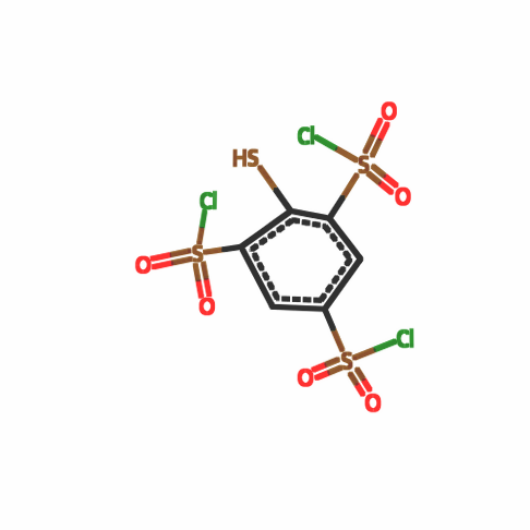 O=S(=O)(Cl)c1cc(S(=O)(=O)Cl)c(S)c(S(=O)(=O)Cl)c1